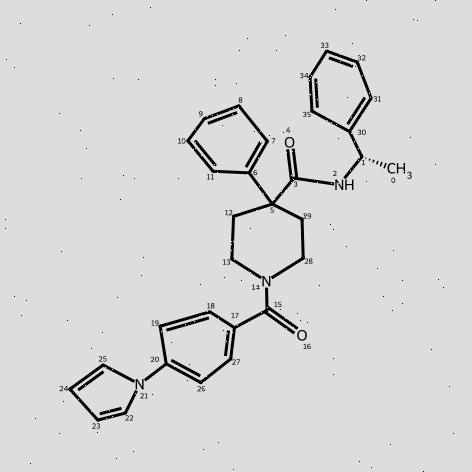 C[C@H](NC(=O)C1(c2ccccc2)CCN(C(=O)c2ccc(-n3cccc3)cc2)CC1)c1ccccc1